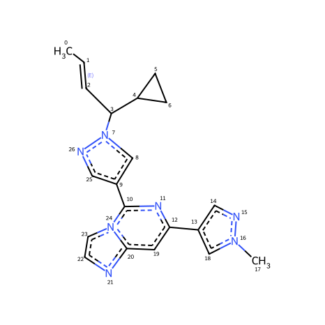 C/C=C/C(C1CC1)n1cc(-c2nc(-c3cnn(C)c3)cc3nccn23)cn1